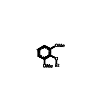 CCOc1c(OC)c[c]cc1OC